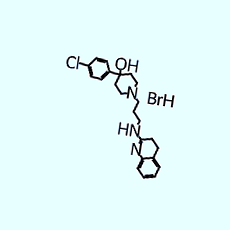 Br.OC1(c2ccc(Cl)cc2)CCN(CCCNC2=Nc3ccccc3CC2)CC1